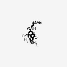 CCCN1C[C@H](C(=O)NCCCOC)C[C@@H]2CC(=O)/C(=C/N(C)C)C[C@H]21